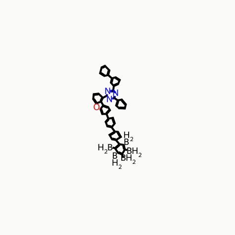 Bc1c(B)c(B)c(-c2ccc(-c3ccc(-c4ccc5c(c4)oc4cccc(-c6nc(-c7ccccc7)nc(-c7cccc(-c8ccccc8)c7)n6)c45)cc3)cc2)c(B)c1B